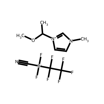 COC(C)[n+]1ccn(C)c1.N#C[B-](F)(F)C(F)(F)C(F)(F)F